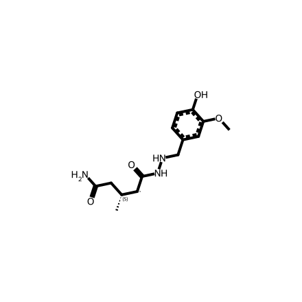 COc1cc(CNNC(=O)[CH][C@H](C)CC(N)=O)ccc1O